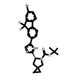 CC(C)(C)OC(=O)N1CC2(CC2)C[C@H]1c1ncc(-c2ccc3c(c2)C(F)(F)c2cc(Br)ccc2-3)[nH]1